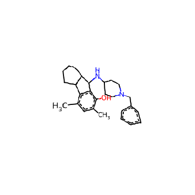 Cc1cc(C)c2c(c1O)C(NC1CCN(Cc3ccccc3)CC1)C1CCCCC21